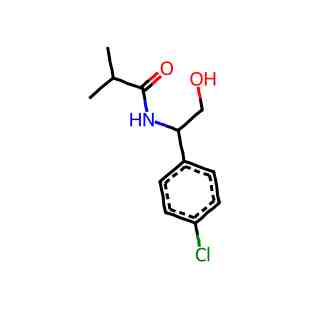 CC(C)C(=O)NC(CO)c1ccc(Cl)cc1